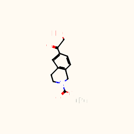 CC(C)(C)OC(=O)N1CCc2cc(C(=O)CO)ccc2C1